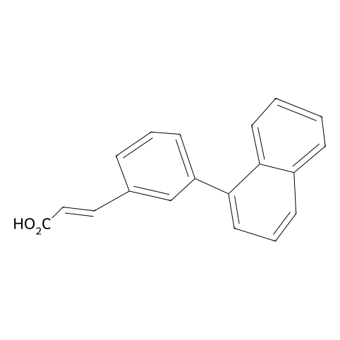 O=C(O)C=Cc1cccc(-c2cccc3ccccc23)c1